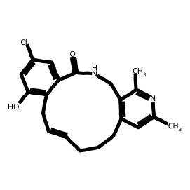 Cc1cc2c(c(C)n1)CNC(=O)c1cc(Cl)cc(O)c1C/C=C/CCC2